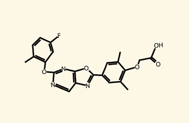 Cc1ccc(F)cc1Oc1ncc2nc(-c3cc(C)c(OCC(=O)O)c(C)c3)oc2n1